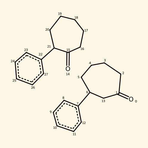 O=C1CCCCC(c2ccccc2)C1.O=C1CCCCCC1c1ccccc1